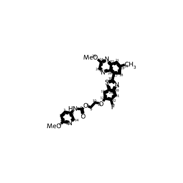 COc1ccc(NC(=O)OCCOc2cc3sc(-c4cc(C)cc5nc(OC)cnc45)nc3cc2F)cn1